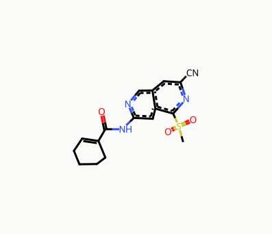 CS(=O)(=O)c1nc(C#N)cc2cnc(NC(=O)C3=CCCCC3)cc12